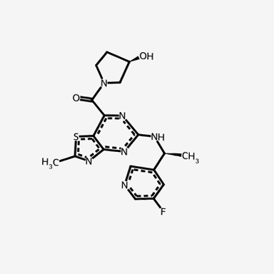 Cc1nc2nc(N[C@@H](C)c3cncc(F)c3)nc(C(=O)N3CC[C@@H](O)C3)c2s1